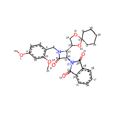 COc1ccc(CN2C(=O)[C@H](N3C(=O)c4ccccc4C3=O)C2C2COC3(CCCCC3)O2)c(OC)c1